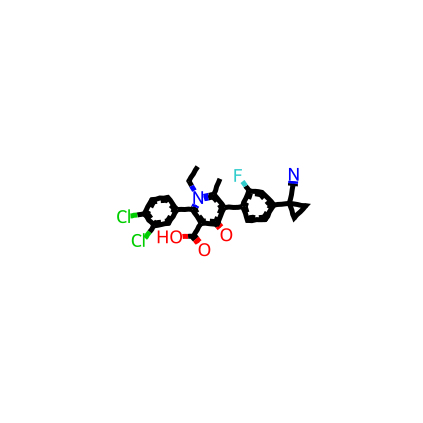 CCn1c(C)c(-c2ccc(C3(C#N)CC3)cc2F)c(=O)c(C(=O)O)c1-c1ccc(Cl)c(Cl)c1